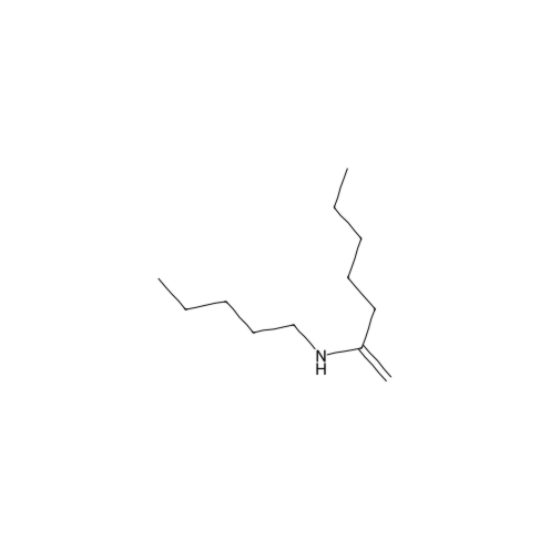 C=C(CCCCC)NCCCCC